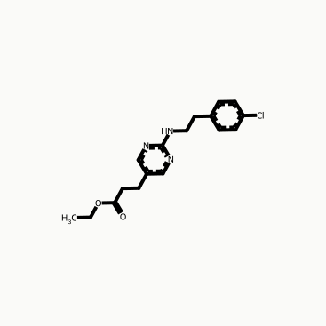 CCOC(=O)CCc1cnc(NCCc2ccc(Cl)cc2)nc1